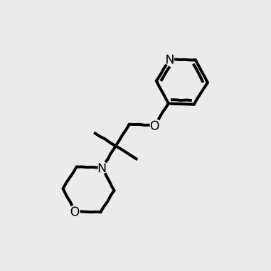 CC(C)(COc1cccnc1)N1CCOCC1